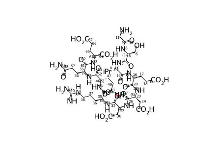 CC(C)[C@H](NC(=O)[C@H](CO)NC(=O)CN)C(=O)N[C@@H](CCC(=O)O)C(=O)N[C@@H](CC(=O)O)C(=O)N[C@@H](CC(=O)O)C(=O)N[C@@H](CCCNC(=N)N)C(=O)N[C@@H](CCC(N)=O)C(=O)N[C@@H](CCC(N)=O)C(=O)N[C@@H](CCC(=O)O)C(=O)O